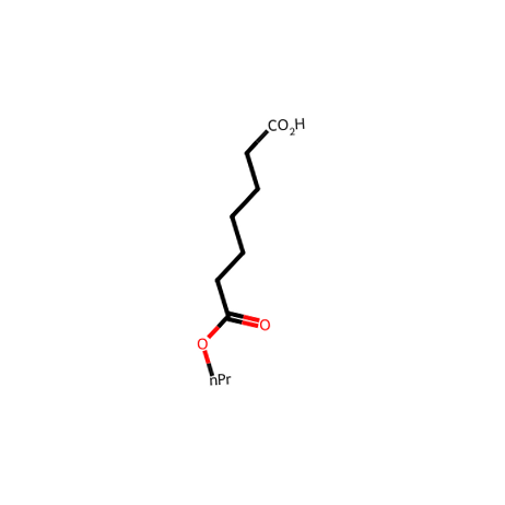 CCCOC(=O)CCCCCC(=O)O